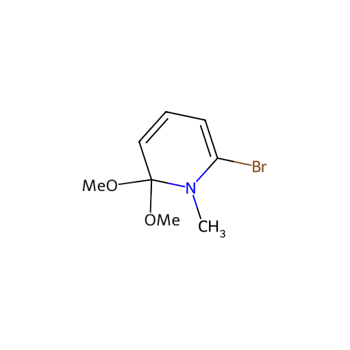 COC1(OC)C=CC=C(Br)N1C